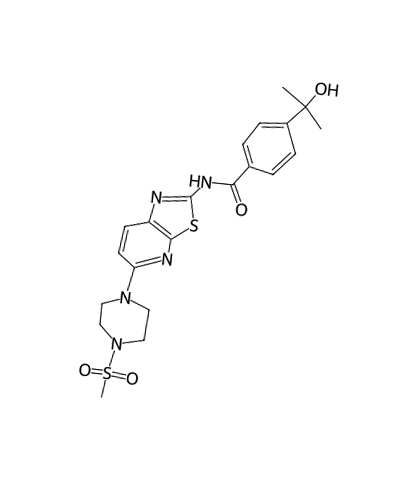 CC(C)(O)c1ccc(C(=O)Nc2nc3ccc(N4CCN(S(C)(=O)=O)CC4)nc3s2)cc1